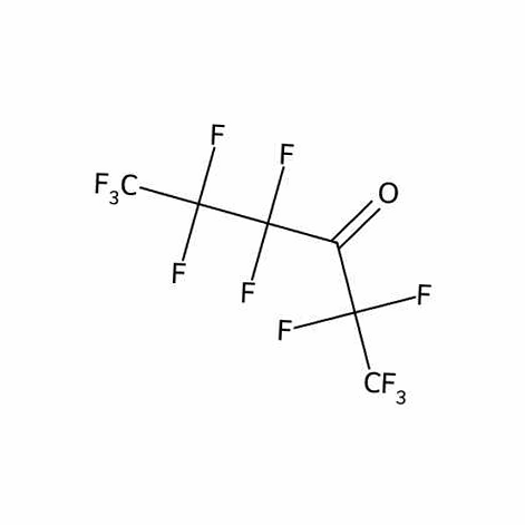 O=C(C(F)(F)C(F)(F)F)C(F)(F)C(F)(F)C(F)(F)F